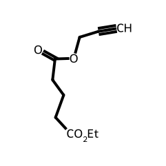 C#CCOC(=O)CCCC(=O)OCC